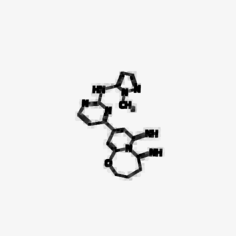 Cn1nccc1Nc1nccc(-c2cc3n(c(=N)c2)C(=N)CCCO3)n1